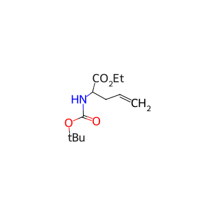 C=CCC(NC(=O)OC(C)(C)C)C(=O)OCC